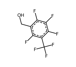 OCc1c(F)c(F)c(F)c(C(F)(F)F)c1F